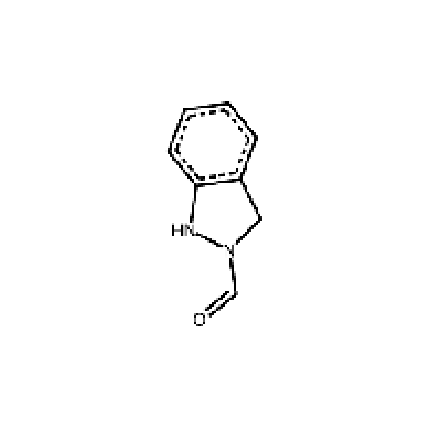 O=CN1Cc2ccccc2N1